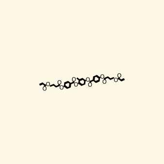 C=CC(=O)OCCCC(=O)Oc1ccc(C(=O)OC2=CCC(OC(=O)c3ccc(OC(=O)CCCOC(=O)C=C)cc3)C=C2C)cc1